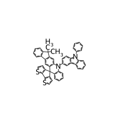 CC1(C)c2ccccc2-c2cc3c(cc21)N(c1ccc2c(c1)c1ccccc1n2-c1ccccc1)c1ccccc1C31c2ccsc2-c2sccc21